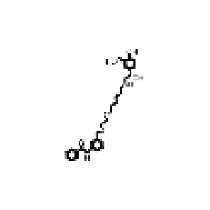 O=C(Nc1cccc(COCCOCCCCCCNC[C@@H](O)c2ccc(O)c(CO)c2)c1)c1ccccc1